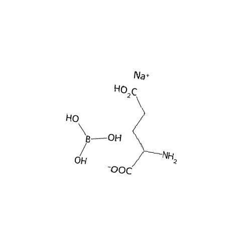 NC(CCC(=O)O)C(=O)[O-].OB(O)O.[Na+]